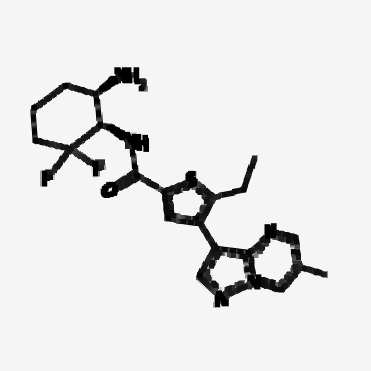 CCc1sc(C(=O)N[C@@H]2[C@H](N)CCCC2(F)F)cc1-c1cnn2cc(C)cnc12